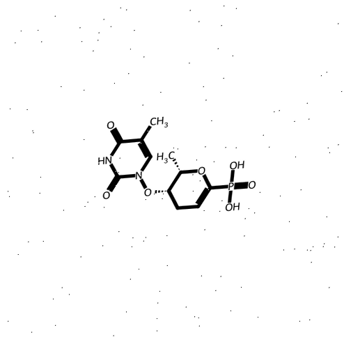 Cc1cn(O[C@H]2CC=C(P(=O)(O)O)O[C@H]2C)c(=O)[nH]c1=O